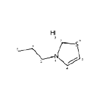 CCCN1C=CSC1.I